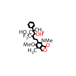 CNc1c(CC=C(C(O)C(C)(C(=O)O)c2ccccc2)C(F)(F)F)c(OC)c(C)c2c1C(=O)OC2